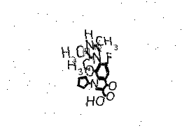 COc1c(N2C[C@@H](C)N[C@@H](C)C2)c(F)cc2c(=O)c(C(=O)O)cn(C3CCCC3)c12